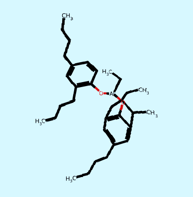 CCCCc1ccc([O][Al]([CH2]C)[O]c2c3cc(CCCC)cc2C(C)C(CC)C3)c(CCCC)c1